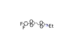 CC/C=C/C1COC(CCC2COC(c3ccc(F)c(F)c3)OC2)OC1